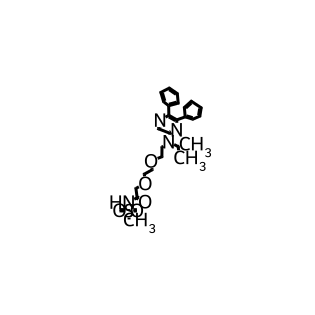 CC(C)N(CCOCCOCC(=O)NS(C)(=O)=O)c1cnc(-c2ccccc2)c(-c2ccccc2)n1